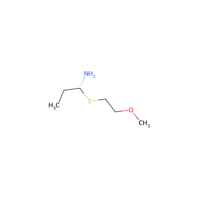 CC[C@H](N)SCCOC